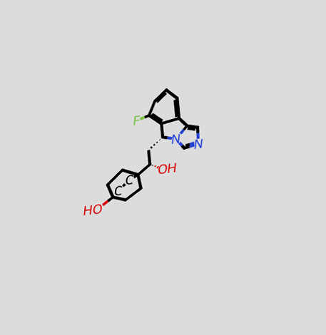 O[C@@H](C[C@@H]1c2c(F)cccc2-c2cncn21)C12CCC(O)(CC1)CC2